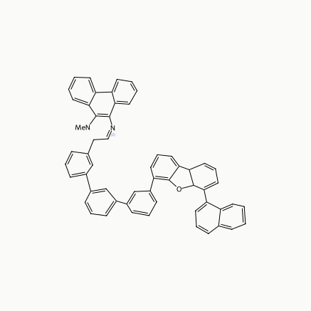 CNc1c(/N=C\Cc2cccc(-c3cccc(-c4cccc(-c5cccc6c5OC5C(c7cccc8ccccc78)=CC=CC65)c4)c3)c2)c2ccccc2c2ccccc12